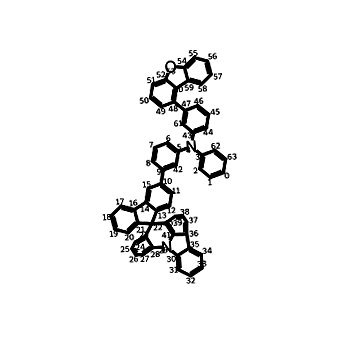 c1ccc(N(c2cccc(-c3ccc4c(c3)-c3ccccc3C43c4ccccc4-n4c5ccccc5c5cccc3c54)c2)c2cccc(-c3cccc4oc5ccccc5c34)c2)cc1